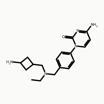 CCN(Cc1ccc(-n2ccc(N)nc2=O)cc1)CC1CC(N)C1